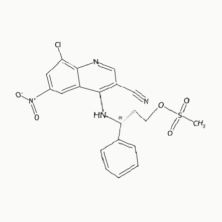 CS(=O)(=O)OCC[C@@H](Nc1c(C#N)cnc2c(Cl)cc([N+](=O)[O-])cc12)c1ccccc1